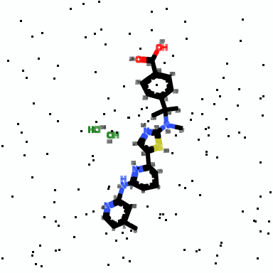 Cc1ccnc(Nc2cccc(-c3cnc(N(C)C(C)(C)c4ccc(C(=O)O)cc4)s3)n2)c1.Cl.Cl